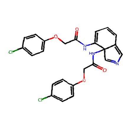 O=C(COc1ccc(Cl)cc1)NC1=CC=CC2=CN=CC21NC(=O)COc1ccc(Cl)cc1